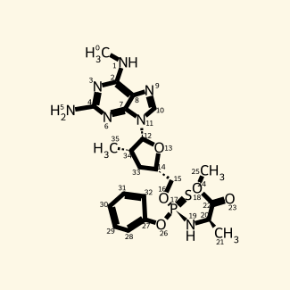 CNc1nc(N)nc2c1ncn2[C@@H]1O[C@H](CO[P@@](=S)(N[C@H](C)C(=O)OC)Oc2ccccc2)C[C@@H]1C